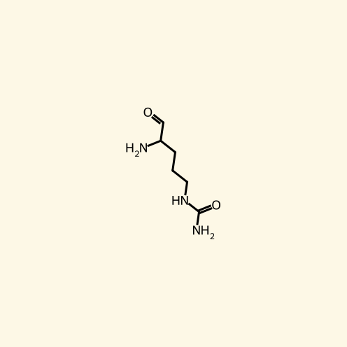 NC(=O)NCCCC(N)C=O